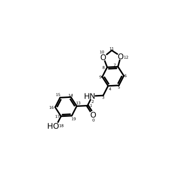 O=C(NCc1ccc2c(c1)OCO2)c1cccc(O)c1